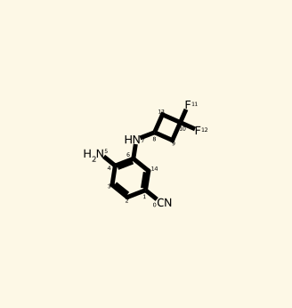 N#Cc1ccc(N)c(NC2CC(F)(F)C2)c1